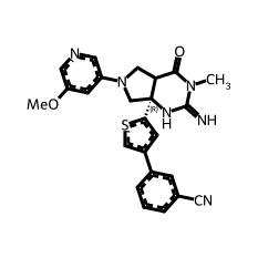 COc1cncc(N2CC3C(=O)N(C)C(=N)N[C@@]3(c3cc(-c4cccc(C#N)c4)cs3)C2)c1